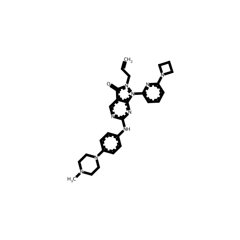 C=CCn1c(=O)c2cnc(Nc3ccc(N4CCN(C)CC4)cc3)nc2n1-c1cccc(N2CCC2)n1